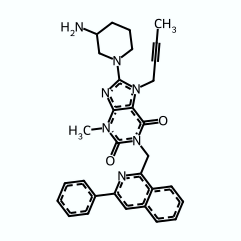 CC#CCn1c(N2CCCC(N)C2)nc2c1c(=O)n(Cc1nc(-c3ccccc3)cc3ccccc13)c(=O)n2C